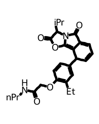 CCCNC(=O)COc1ccc(C2C=CC=C3C(=O)N4C(=C32)OC(=O)C4C(C)C)cc1CC